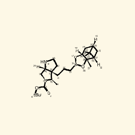 C[C@H]1N(C(=O)OC(C)(C)C)C[C@@H]2NCC[C@@]21CCCB1O[C@@H]2C[C@@H]3C[C@@H](C3(C)C)[C@]2(C)O1